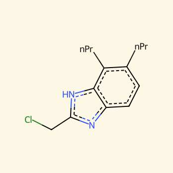 CCCc1ccc2nc(CCl)[nH]c2c1CCC